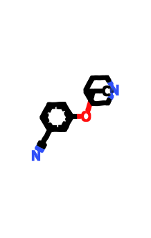 N#Cc1cccc(OC2CN3CCC2CC3)c1